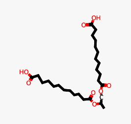 CC(COC(=O)CCCCCCCCCCC(=O)O)OC(=O)CCCCCCCCCCC(=O)O